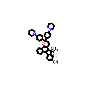 CC1(C)c2cc(C#N)ccc2-c2c1c1c(c3ccccc23)OC(C2=CC=C(N3CCCCC3)CC2)(c2ccc(N3CCCCC3)cc2)C=C1